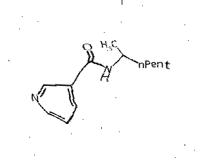 CCCCCC(C)NC(=O)c1cccnc1